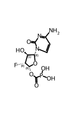 Nc1ccn([C@@H]2O[C@H](OC(=O)P(O)O)[C@H](F)[C@H]2O)c(=O)n1